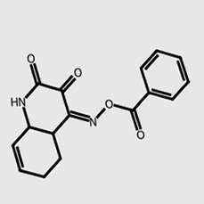 O=C1NC2C=CCCC2C(=NOC(=O)c2ccccc2)C1=O